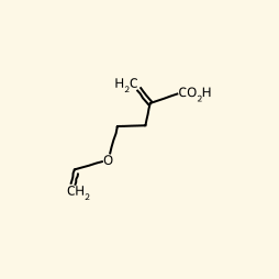 C=COCCC(=C)C(=O)O